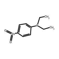 CCN(CC)c1ccc([SH](=O)=O)cc1